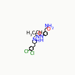 CC(C)[C@H](CN1CCC(Cc2ccc(Cl)c(Cl)c2)CC1)NC(=O)Nc1cccc(CC(N)=O)c1